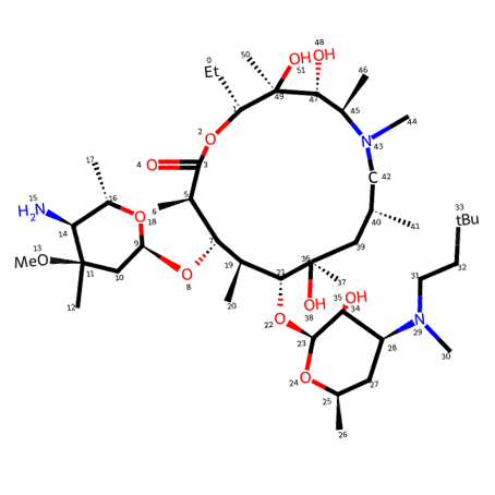 CC[C@H]1OC(=O)[C@H](C)[C@@H](O[C@H]2C[C@@](C)(OC)[C@@H](N)[C@H](C)O2)[C@H](C)[C@@H](O[C@@H]2O[C@H](C)C[C@H](N(C)CCC(C)(C)C)[C@H]2O)[C@](C)(O)C[C@@H](C)CN(C)[C@H](C)[C@@H](O)[C@]1(C)O